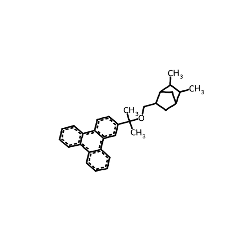 CC1C2CC(COC(C)(C)c3ccc4c5ccccc5c5ccccc5c4c3)C(C2)C1C